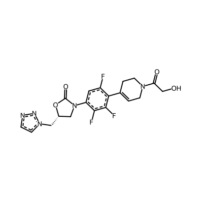 O=C(CO)N1CC=C(c2c(F)cc(N3C[C@H](Cn4ccnn4)OC3=O)c(F)c2F)CC1